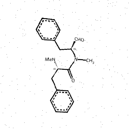 CN[C@@H](Cc1ccccc1)C(=O)N(C)[C@H](C=O)Cc1ccccc1